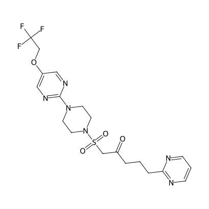 O=C(CCCc1ncccn1)CS(=O)(=O)N1CCN(c2ncc(OCC(F)(F)F)cn2)CC1